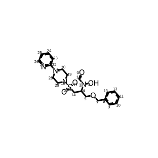 O=CN(O)C(COCc1ccccc1)CS(=O)(=O)N1CCN(c2ccccn2)CC1